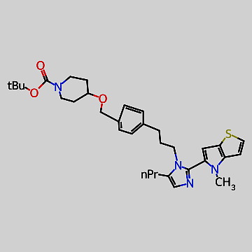 CCCc1cnc(-c2cc3sccc3n2C)n1CCCc1ccc(COC2CCN(C(=O)OC(C)(C)C)CC2)cc1